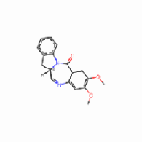 COC1=C(OC)CC2C(=O)N3c4ccccc4C[C@H]3C=NC2=C1